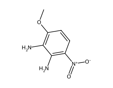 COc1ccc([N+](=O)[O-])c(N)c1N